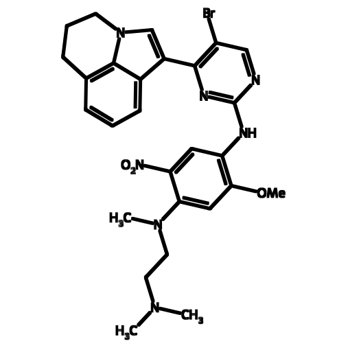 COc1cc(N(C)CCN(C)C)c([N+](=O)[O-])cc1Nc1ncc(Br)c(-c2cn3c4c(cccc24)CCC3)n1